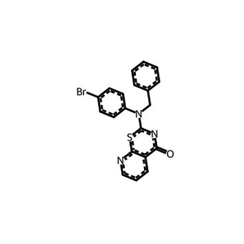 O=c1nc(N(Cc2ccccc2)c2ccc(Br)cc2)sc2ncccc12